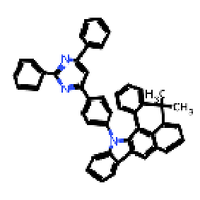 CC1(C)c2ccccc2-c2c3c1cccc3cc1c3ccccc3n(-c3ccc(-c4cc(-c5ccccc5)nc(-c5ccccc5)n4)cc3)c21